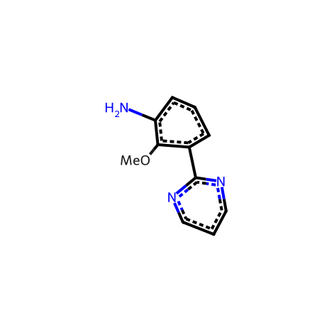 COc1c(N)cccc1-c1ncccn1